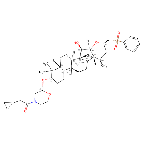 C[C@@H]1C[C@H](CS(=O)(=O)c2ccccc2)O[C@H]2[C@H]1[C@@]1(C)CC[C@@]34C[C@@]35CC[C@H](O[C@H]3CN(C(=O)CC6CC6)CCO3)C(C)(C)[C@@H]5CC[C@H]4[C@]1(C)[C@H]2O